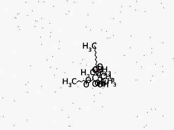 CCCCCCCCCC(=O)O[C@]1(C)C[C@@H](C)C23C=C(C)C(O)C2(O)C(O)C(COC(=O)CCCCC)=CC(C3=O)C1(C)C